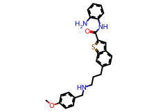 COc1ccc(CNCCCc2ccc3cc(C(=O)Nc4ccccc4N)sc3c2)cc1